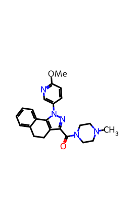 COc1ccc(-n2nc(C(=O)N3CCN(C)CC3)c3c2-c2ccccc2CC3)cn1